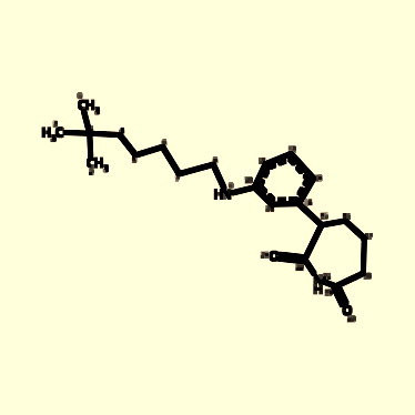 CC(C)(C)CCCCCNc1cccc(C2CCCC(=O)NC2=O)c1